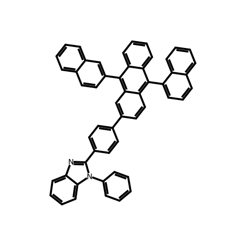 c1ccc(-n2c(-c3ccc(-c4ccc5c(-c6cccc7ccccc67)c6ccccc6c(-c6ccc7ccccc7c6)c5c4)cc3)nc3ccccc32)cc1